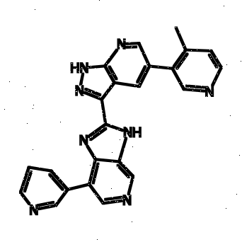 Cc1ccncc1-c1cnc2[nH]nc(-c3nc4c(-c5cccnc5)cncc4[nH]3)c2c1